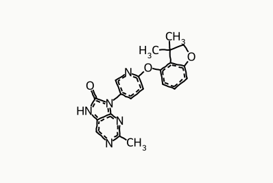 Cc1ncc2[nH]c(=O)n(-c3ccc(Oc4cccc5c4C(C)(C)CO5)nc3)c2n1